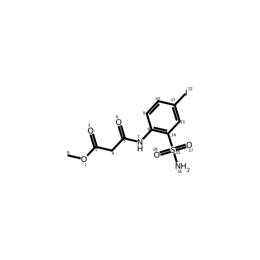 COC(=O)CC(=O)Nc1ccc(I)cc1S(N)(=O)=O